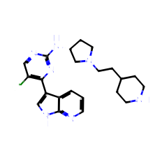 Clc1cnc(N[C@@H]2CCN(CCC3CCNCC3)C2)nc1-c1c[nH]c2ncccc12